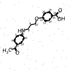 CC(=O)c1ccc(NCCCOc2ccc(C(=O)O)cc2)cc1